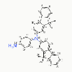 CC1(C)c2ccccc2-c2ccc(N(c3ccc(N)cc3)c3ccc4c(c3)C(C)(C)c3ccccc3-4)cc21